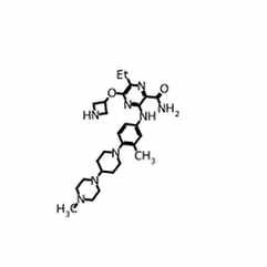 CCc1nc(C(N)=O)c(Nc2ccc(N3CCC(N4CCN(C)CC4)CC3)c(C)c2)nc1OC1CNC1